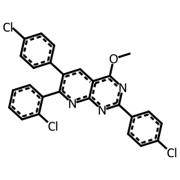 COc1nc(-c2ccc(Cl)cc2)nc2nc(-c3ccccc3Cl)c(-c3ccc(Cl)cc3)cc12